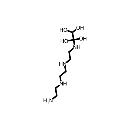 NCCNCCNCCNC(O)(O)C(O)O